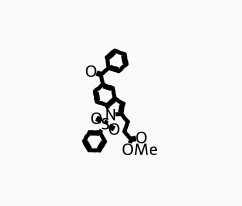 COC(=O)CCc1cc2cc(C(=O)c3ccccc3)ccc2n1S(=O)(=O)c1ccccc1